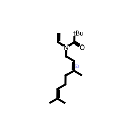 C=CN(C/C=C(/C)CCC=C(C)C)C(=O)C(C)(C)C